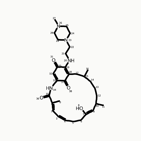 C/C1=C\C=C/CC/C(O)=C/C(C)CCCC(C)CC2=C(NCCN3CCN(C)CC3)C(=O)C=C(NC1=O)C2=O